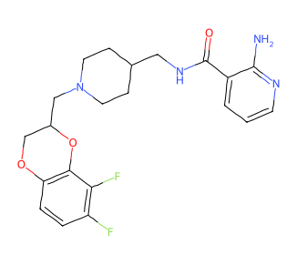 Nc1ncccc1C(=O)NCC1CCN(CC2COc3ccc(F)c(F)c3O2)CC1